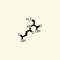 C=CC(NC(=O)C=CC(=O)O)C(=O)O